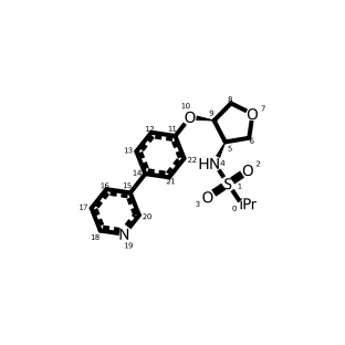 CC(C)S(=O)(=O)N[C@@H]1COC[C@@H]1Oc1ccc(-c2cccnc2)cc1